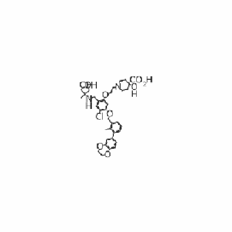 Cc1c(COc2cc(OCCN3CCC(O)(C(=O)O)CC3)c(CNC(C)(CO)CO)cc2Cl)cccc1-c1ccc2c(c1)OCCO2